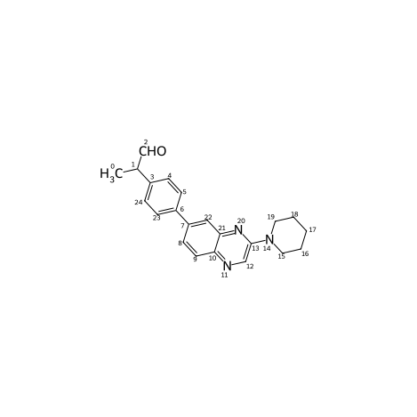 CC(C=O)c1ccc(-c2ccc3ncc(N4CCCCC4)nc3c2)cc1